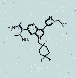 C/C(N)=C(\c1cnc2c(-c3cnn(CC(F)(F)F)c3)cn(CC3(F)CCC(F)(F)CC3)c2c1)N(C)N